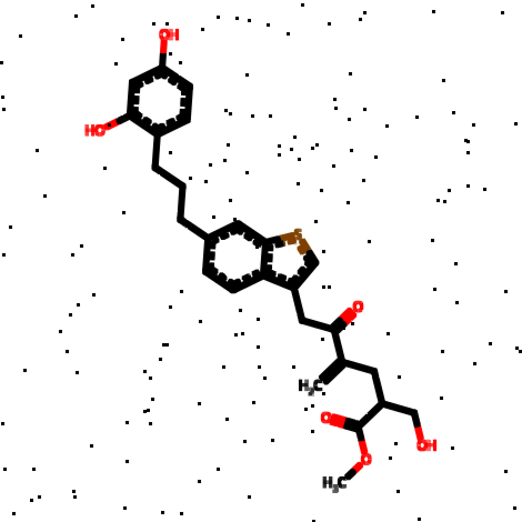 C=C(CC(CO)C(=O)OC)C(=O)Cc1csc2cc(CCCc3ccc(O)cc3O)ccc12